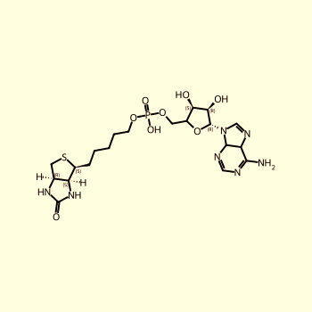 NC1=NC=NC2C1N=CN2[C@@H]1OC(COP(=O)(O)OCCCCC[C@@H]2SC[C@@H]3NC(=O)N[C@@H]32)[C@@H](O)[C@H]1O